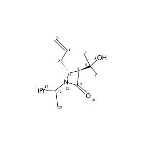 C=CC[C@@H]1[C@@H](C(C)(C)O)C(=O)N1C(C)C(C)C